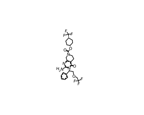 Nc1nc2c(c(=O)n1C(COCC(F)(F)F)c1ccccc1)CCN(C(=O)O[C@H]1CC[C@H](C(F)(F)F)CC1)C2